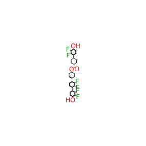 O=C(OC1CC=C(c2ccc(-c3ccc(O)c(F)c3F)c(F)c2F)CC1)C1CCC(c2ccc(O)c(F)c2F)CC1